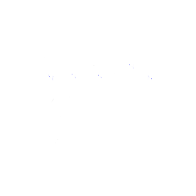 O=C(Nc1ccc(N2CCC2)nc1)c1cc2cc(F)cnc2n1Cc1cccc(OC(F)(F)F)c1